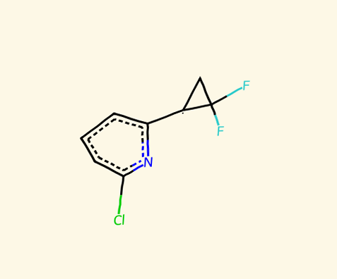 FC1(F)C[C]1c1cccc(Cl)n1